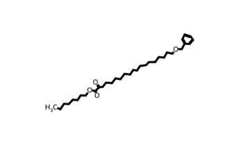 CCCCCCCCOC(=O)C(=O)CCCCCCCCCCCCCCCCCOCc1ccccc1